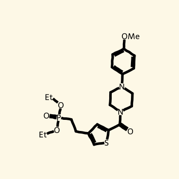 CCOP(=O)(CCc1csc(C(=O)N2CCN(c3ccc(OC)cc3)CC2)c1)OCC